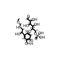 COCNCC(O)c1ccc(O)c(O)c1.O=CC(O)C(O)C(O)C(O)COP(=O)(O)O